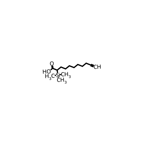 C#CCCCCCCCC(C(=O)O)[Si](C)(C)C